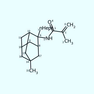 C=C(C)C(=O)NC1(CCCCCCC)C2CC3CC1CC(C)(C3)C2